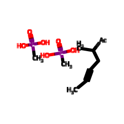 CC#CCC(C)C(C)=O.CP(=O)(O)O.CP(=O)(O)O